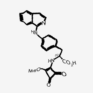 COc1c(N[C@@H](Cc2ccc(Nc3nccc4ccccc34)cc2)C(=O)O)c(=O)c1=O